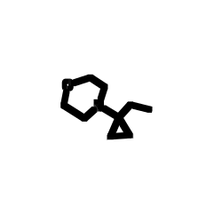 CCC1(N2CCOCC2)CC1